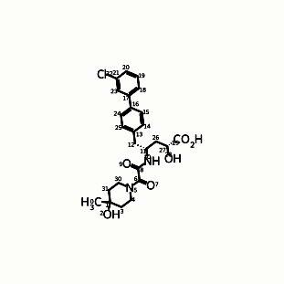 CC1(O)CCN(C(=O)C(=O)N[C@H](Cc2ccc(-c3cccc(Cl)c3)cc2)C[C@@H](O)C(=O)O)CC1